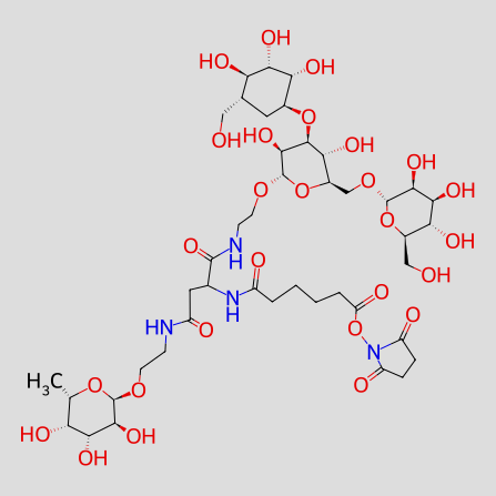 C[C@@H]1O[C@@H](OCCNC(=O)CC(NC(=O)CCCCC(=O)ON2C(=O)CCC2=O)C(=O)NCCO[C@H]2O[C@H](CO[C@H]3O[C@H](CO)[C@@H](O)[C@H](O)[C@@H]3O)[C@@H](O)[C@H](O[C@H]3C[C@H](CO)[C@@H](O)[C@H](O)[C@@H]3O)[C@@H]2O)[C@@H](O)[C@H](O)[C@@H]1O